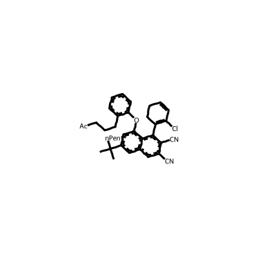 CCCCCC(C)(C)c1cc(Oc2ccccc2CCCC(C)=O)c2c(C3=C(Cl)C=CCC3)c(C#N)c(C#N)cc2c1